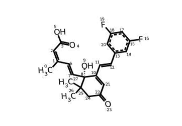 CC(=C/C(=O)O)/C=C/[C@@]1(O)C(/C=C/c2cc(F)cc(F)c2)=CC(=O)CC1(C)C